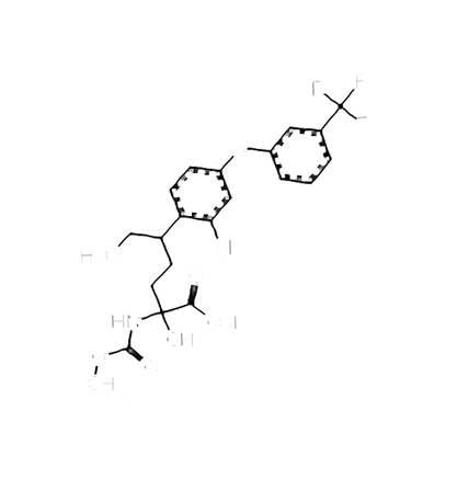 CCC(CCC(C)(NC(=O)OC)C(=O)O)c1ccc(Sc2cccc(C(F)(F)F)c2)cc1Cl